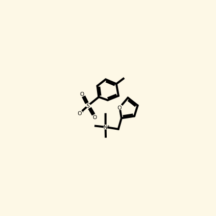 C[N+](C)(C)Cc1ccco1.Cc1ccc(S(=O)(=O)[O-])cc1